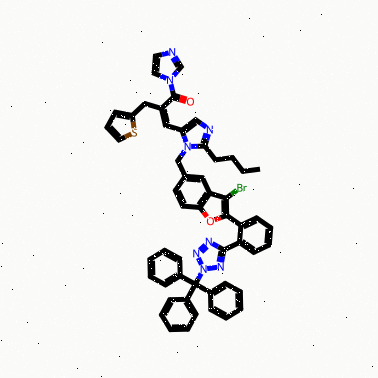 CCCCc1ncc(C=C(Cc2cccs2)C(=O)n2ccnc2)n1Cc1ccc2oc(-c3ccccc3-c3nnn(C(c4ccccc4)(c4ccccc4)c4ccccc4)n3)c(Br)c2c1